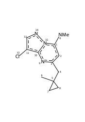 CNc1cc(CC2(C)CC2)nc2c(Cl)cnn12